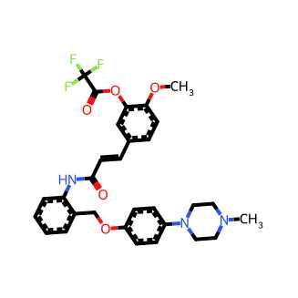 COc1ccc(/C=C/C(=O)Nc2ccccc2COc2ccc(N3CCN(C)CC3)cc2)cc1OC(=O)C(F)(F)F